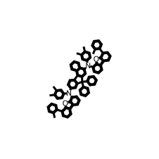 Cc1ccc(N(c2ccc3c(c2)C(c2ccccc2)(c2ccccc2)c2cc(N(c4ccc(C)c(C)c4)c4cccc5c4oc4c(-c6ccccc6C)cccc45)c4ccccc4c2-3)c2cccc3c2oc2c(-c4ccccc4C)cccc23)cc1C